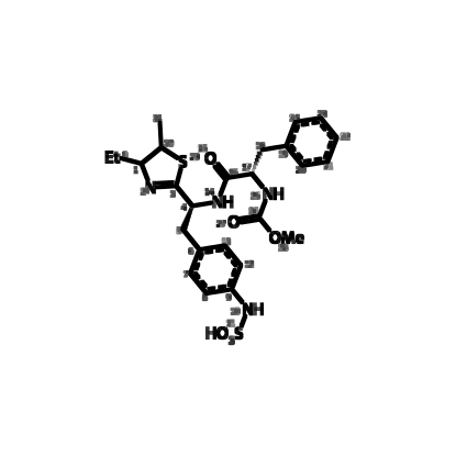 CCC1N=C([C@H](Cc2ccc(NS(=O)(=O)O)cc2)NC(=O)[C@H](Cc2ccccc2)NC(=O)OC)SC1C